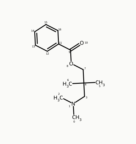 CN(C)CC(C)(C)COC(=O)c1ccccc1